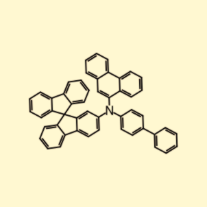 c1ccc(-c2ccc(N(c3ccc4c(c3)C3(c5ccccc5-c5ccccc53)c3ccccc3-4)c3cc4ccccc4c4ccccc34)cc2)cc1